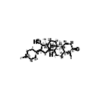 CN1CCC(=C2C[C@H]3[C@@H]4CCC5N(C)C(=O)C=C[C@]5(C)[C@@H]4CC[C@]3(C)C2O)CC1